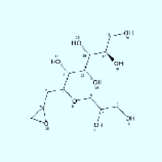 OCC(O)COC(CC1CO1)[C@H](O)[C@@H](O)[C@H](O)[C@H](O)CO